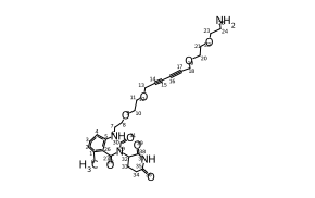 Cc1cccc(NCCOCCOCC#CC#CCOCCOCCN)c1C(=O)N(C=O)C1CCC(=O)NC1=O